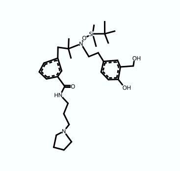 CC(C)(Cc1cccc(C(=O)NCCCN2CCCC2)c1)N(CCc1ccc(O)c(CO)c1)O[Si](C)(C)C(C)(C)C